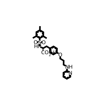 Cc1cc(C)c(S(=O)(=O)N[C@@H](Cc2ccc(OCCCNc3ccccn3)cc2)C(=O)O)c(C)c1